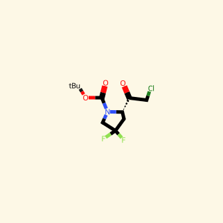 CC(C)(C)OC(=O)N1CC(F)(F)C[C@H]1C(=O)CCl